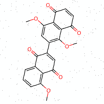 COc1cccc2c1C(=O)C=C(c1cc(OC)c3c(c1OC)C(=O)C=CC3=O)C2=O